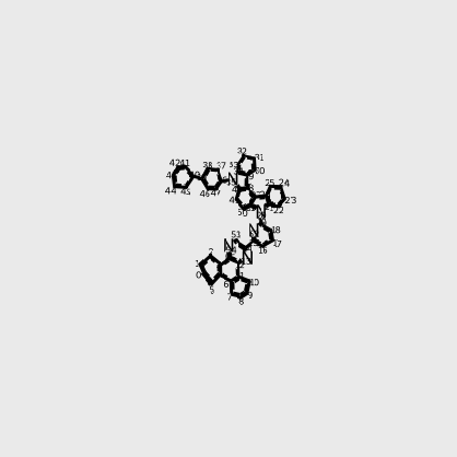 c1ccc2c(c#1)c1ccccc1c1nc(-c3cccc(-n4c5ccccc5c5c6c7ccccc7n(-c7ccc(-c8ccccc8)cc7)c6ccc54)n3)cnc21